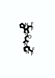 O=C(CC1CN(c2ccnc(C(F)F)c2)C1)N1Cc2c(C(F)F)nc3c(c2C1)CCC3